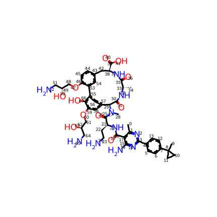 Cc1nc(-c2ccc(C3(C)CC3)cc2)nc(N)c1C(=O)N[C@@H](CCN)C(=O)N(C)[C@@H]1C(=O)N[C@@H](C)C(=O)N[C@H](C(=O)O)Cc2ccc(OC[C@H](O)CN)c(c2)-c2cc1cc(OC[C@H](O)CN)c2O